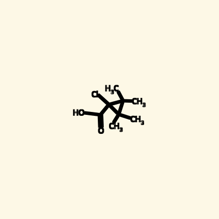 CC1(C)C(C)(C)C1(Cl)C(=O)O